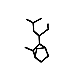 CCC(CC(C)C)C1C2CCC(C2)C1C